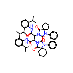 CC(C)c1cccc(C(C)C)c1NC(=O)C(C(C(=O)Nc1c(C(C)C)cccc1C(C)C)N1C(=O)N(c2ccccc2)C2(CCCC2)C1=O)N1C(=O)N(c2ccccc2)C2(CCCCC2)C1=O